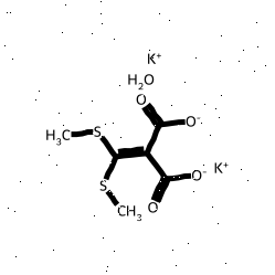 CSC(SC)=C(C(=O)[O-])C(=O)[O-].O.[K+].[K+]